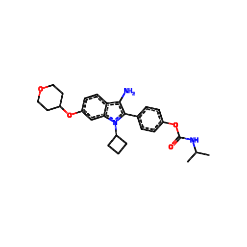 CC(C)NC(=O)Oc1ccc(-c2c(N)c3ccc(OC4CCOCC4)cc3n2C2CCC2)cc1